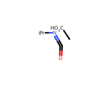 CC(=O)O.CC(C)N=C=O